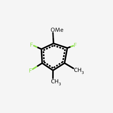 COc1c(F)c(C)c(C)c(F)c1F